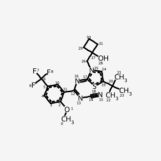 COc1ccc(C(F)(F)F)cc1C(=NC#N)N=c1sc(C(C)(C)C)cn1CC1(O)CCC1